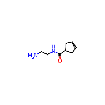 NCCNC(=O)C1CC=CC1